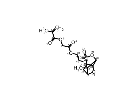 C=C(C)C(=O)OCC(=O)OCCOC1(C)C2CC3C(O2)C1OS3(=O)=O